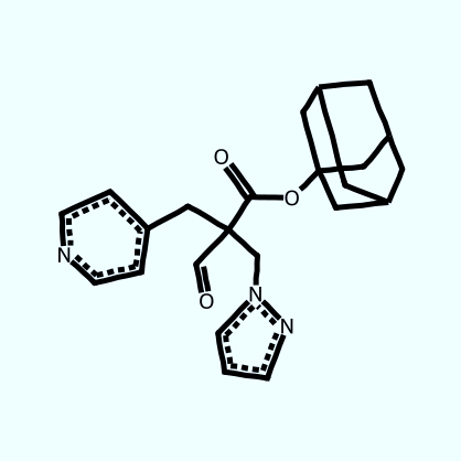 O=CC(Cc1ccncc1)(Cn1cccn1)C(=O)OC12CC3CC(CC(C3)C1)C2